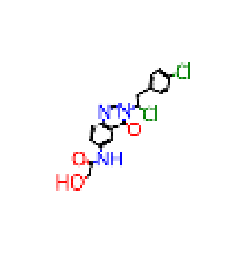 O=C(CO)Nc1ccc2ncn(C(Cl)Cc3ccc(Cl)cc3)c(=O)c2c1